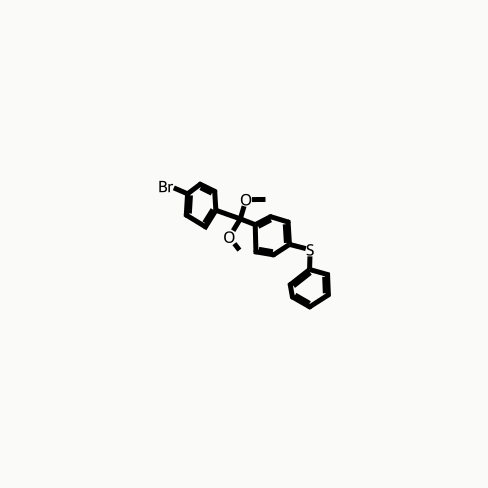 COC(OC)(c1ccc(Br)cc1)c1ccc(Sc2ccccc2)cc1